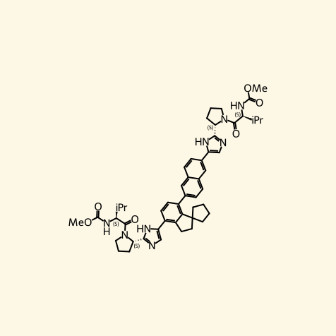 COC(=O)N[C@H](C(=O)N1CCC[C@H]1c1ncc(-c2ccc3cc(-c4ccc(-c5cnc([C@@H]6CCCN6C(=O)[C@@H](NC(=O)OC)C(C)C)[nH]5)c5c4C4(CCCC4)CC5)ccc3c2)[nH]1)C(C)C